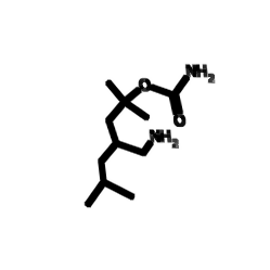 CC(C)CC(CN)CC(C)(C)OC(N)=O